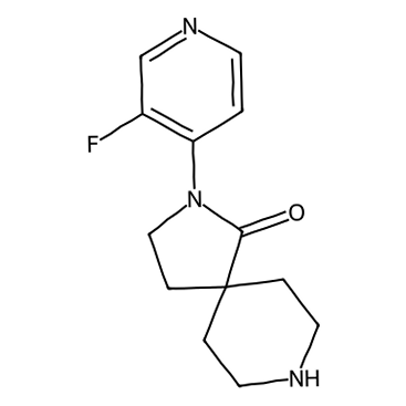 O=C1N(c2ccncc2F)CCC12CCNCC2